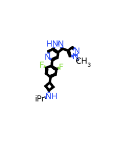 CC(C)NC1CC(c2cc(F)c(-c3cc4c(-c5cnn(C)c5)n[nH]c4cn3)c(F)c2)C1